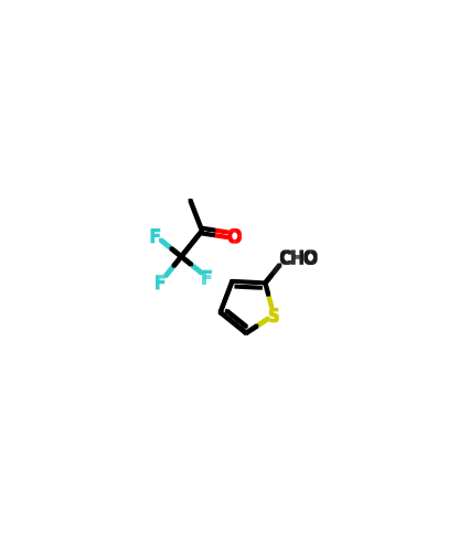 CC(=O)C(F)(F)F.O=Cc1cccs1